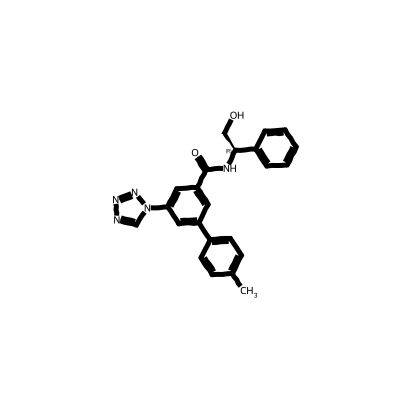 Cc1ccc(-c2cc(C(=O)N[C@@H](CO)c3ccccc3)cc(-n3cnnn3)c2)cc1